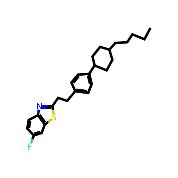 CCCCCC1CCC(c2ccc(CCc3nc4ccc(F)cc4s3)cc2)CC1